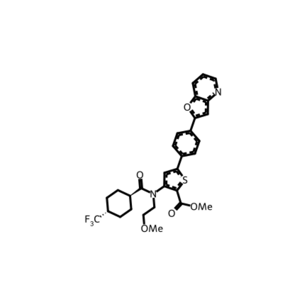 COCCN(c1cc(-c2ccc(-c3cc4ncccc4o3)cc2)sc1C(=O)OC)C(=O)[C@H]1CC[C@H](C(F)(F)F)CC1